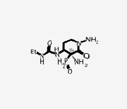 CCNC(=O)NC1CCN(N)C(=O)[C@@]1(N)[PH2]=O